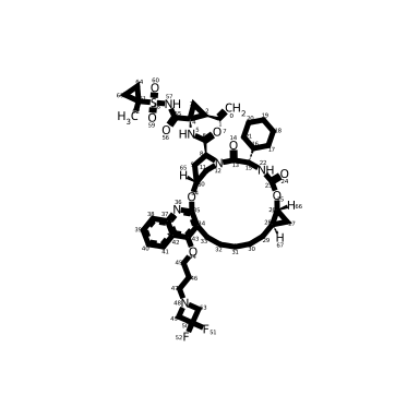 C=C[C@@H]1C[C@]1(NC(=O)[C@@H]1C[C@@H]2CN1C(=O)[C@H](C1CCCCC1)NC(=O)O[C@@H]1C[C@H]1CCCCCc1c(nc3ccccc3c1OCCCN1CC(F)(F)C1)O2)C(=O)NS(=O)(=O)C1(C)CC1